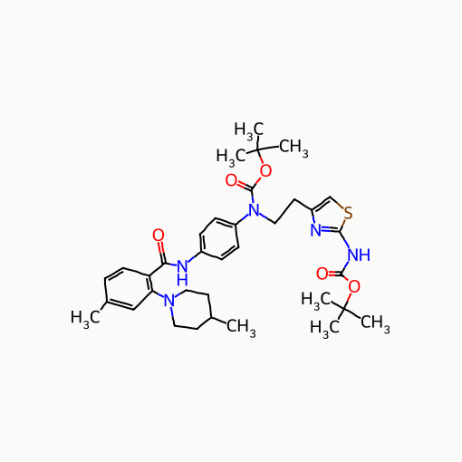 Cc1ccc(C(=O)Nc2ccc(N(CCc3csc(NC(=O)OC(C)(C)C)n3)C(=O)OC(C)(C)C)cc2)c(N2CCC(C)CC2)c1